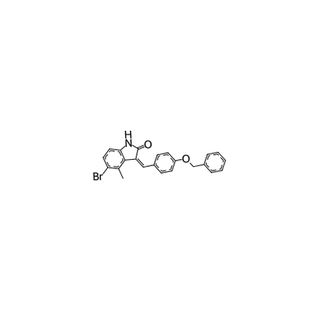 Cc1c(Br)ccc2c1C(=Cc1ccc(OCc3ccccc3)cc1)C(=O)N2